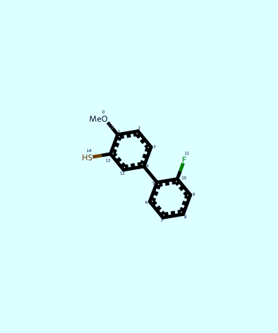 COc1ccc(-c2ccccc2F)cc1S